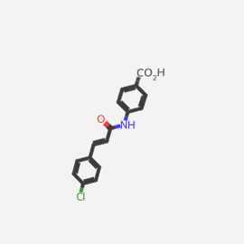 O=C(C=Cc1ccc(Cl)cc1)Nc1ccc(C(=O)O)cc1